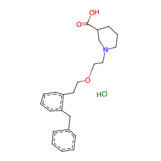 Cl.O=C(O)C1CCCN(CCOCCc2ccccc2Cc2ccccc2)C1